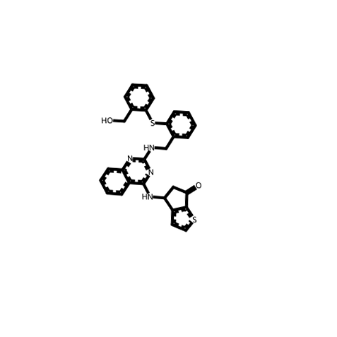 O=C1CC(Nc2nc(NCc3ccccc3Sc3ccccc3CO)nc3ccccc23)c2ccsc21